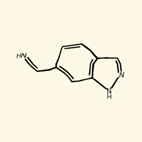 N=Cc1ccc2cn[nH]c2c1